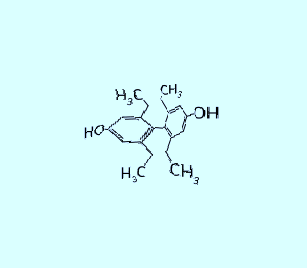 CCc1cc(O)cc(CC)c1-c1c(CC)cc(O)cc1CC